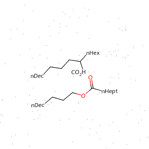 CCCCCCCCCCCCCC(CCCCCC)C(=O)O.CCCCCCCCCCCCCOC(=O)CCCCCCC